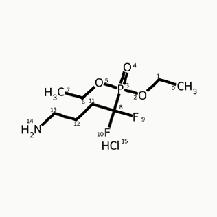 CCOP(=O)(OCC)C(F)(F)CCCN.Cl